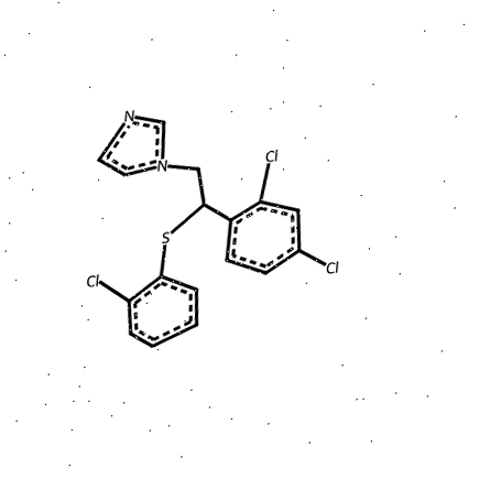 Clc1ccc(C(Cn2ccnc2)Sc2ccccc2Cl)c(Cl)c1